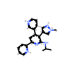 CC(C)Nc1nc(-c2ccccn2)cc(-c2cccnc2)c1-c1cnn(C)c1